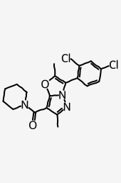 Cc1nn2c(-c3ccc(Cl)cc3Cl)c(C)oc2c1C(=O)N1CCCCC1